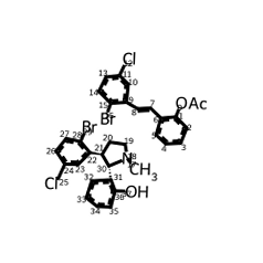 CC(=O)Oc1ccccc1/C=C/c1cc(Cl)ccc1Br.CN1CC[C@H](c2cc(Cl)ccc2Br)[C@H]1c1ccccc1O